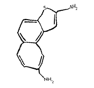 Nc1ccc2ccc3sc(N)cc3c2c1